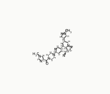 Cn1cnc(C(=O)N2CCN(c3ccc(-c4cc(-c5cnn(C)c5)cn5ncc(C#N)c45)cn3)CC2)c1